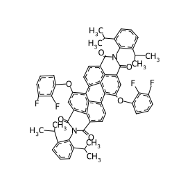 CC(C)c1cccc(C(C)C)c1N1C(=O)c2ccc3c4c(Oc5cccc(F)c5F)cc5c6c(ccc(c7c(Oc8cccc(F)c8F)cc(c2c37)C1=O)c64)C(=O)N(c1c(C(C)C)cccc1C(C)C)C5=O